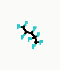 F[C](F)C(F)(F)C(F)C(F)C(F)F